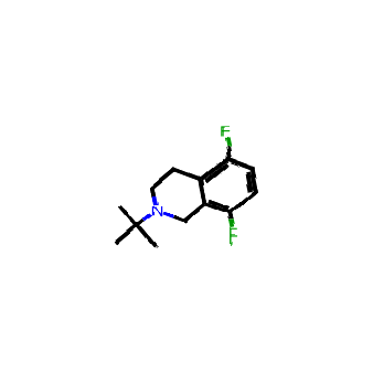 CC(C)(C)N1CCc2c(F)ccc(F)c2C1